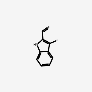 O=Cc1[nH]c2ccccc2c1F